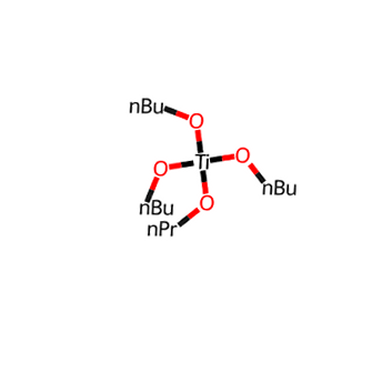 CCCC[O][Ti]([O]CCC)([O]CCCC)[O]CCCC